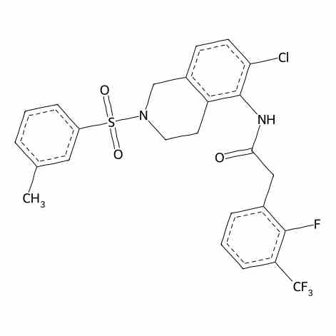 Cc1cccc(S(=O)(=O)N2CCc3c(ccc(Cl)c3NC(=O)Cc3cccc(C(F)(F)F)c3F)C2)c1